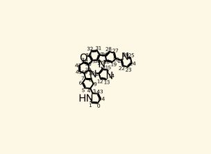 C1=CNC(C2C=CC3=C(C2)N2c4ccncc4-n4c5cc(-c6ccccn6)ccc5c5ccc6oc7c(c6c54)C2C3C=C7)C=C1